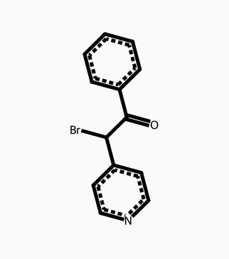 O=C(c1ccccc1)C(Br)c1ccncc1